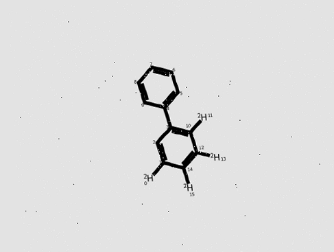 [2H]c1cc(-c2ccccc2)c([2H])c([2H])c1[2H]